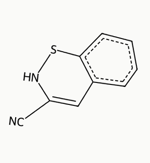 N#CC1=Cc2ccccc2SN1